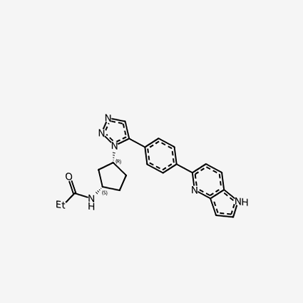 CCC(=O)N[C@H]1CC[C@@H](n2nncc2-c2ccc(-c3ccc4[nH]ccc4n3)cc2)C1